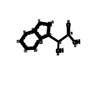 O=C(O)C(O)c1ncc2ccccn12